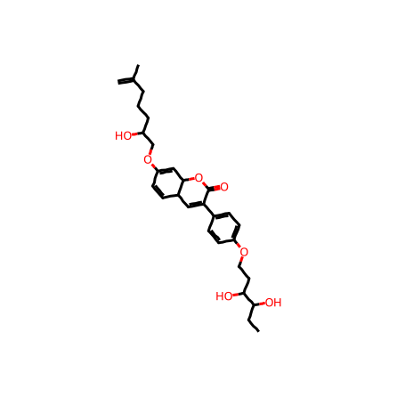 C=C(C)CCCC(O)COC1=CC2OC(=O)C(c3ccc(OCCC(O)C(O)CC)cc3)=CC2C=C1